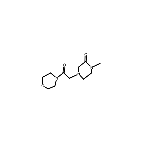 CN1CCN(CC(=O)N2CCOCC2)CC1=O